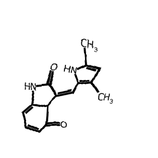 Cc1cc(C)c(C=C2C(=O)NC3=CC=CC(=O)C32)[nH]1